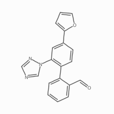 O=Cc1ccccc1-c1ccc(-c2ccco2)cc1-n1cncn1